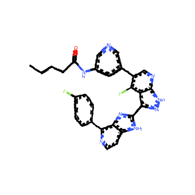 CCCCC(=O)Nc1cncc(-c2cnc3[nH]nc(-c4nc5c(-c6ccc(F)cc6)nccc5[nH]4)c3c2F)c1